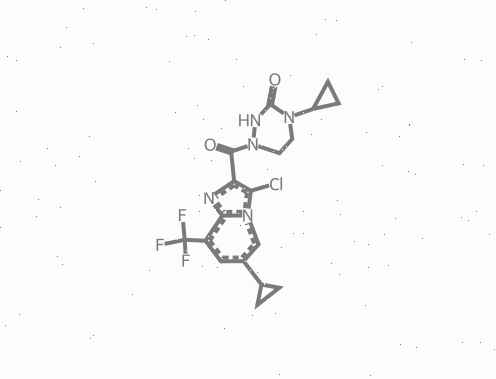 O=C(c1nc2c(C(F)(F)F)cc(C3CC3)cn2c1Cl)N1CCN(C2CC2)C(=O)N1